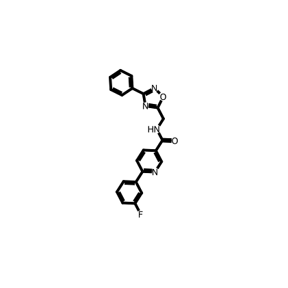 O=C(NCc1nc(-c2ccccc2)no1)c1ccc(-c2cccc(F)c2)nc1